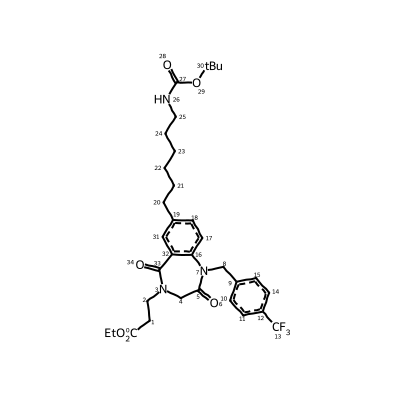 CCOC(=O)CCN1CC(=O)N(Cc2ccc(C(F)(F)F)cc2)c2ccc(CCCCCCNC(=O)OC(C)(C)C)cc2C1=O